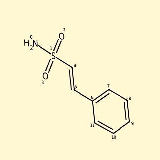 NS(=O)(=O)C=Cc1c[c]ccc1